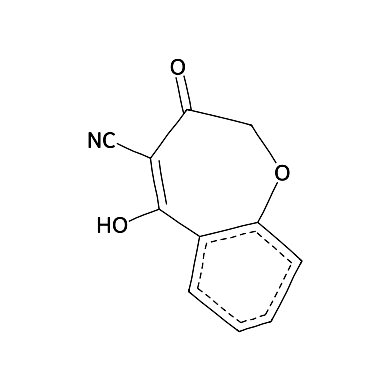 N#CC1=C(O)c2ccccc2OCC1=O